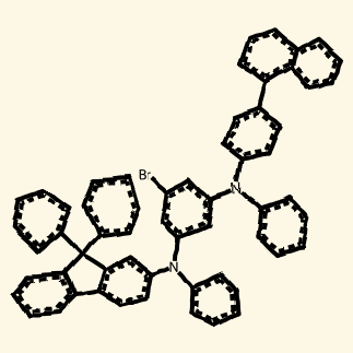 Brc1cc(N(c2ccccc2)c2ccc(-c3cccc4ccccc34)cc2)cc(N(c2ccccc2)c2ccc3c(c2)C(c2ccccc2)(c2ccccc2)c2ccccc2-3)c1